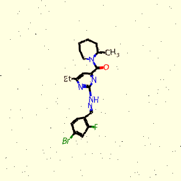 CCc1cc(C(=O)N2CCCCCC2C)nc(N/N=C/c2ccc(Br)cc2F)n1